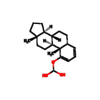 C[C@@]12CCC[C@H]1[C@@H]1CCC3C=CC=C(OC(O)O)[C@]3(C)[C@H]1CC2